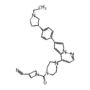 CCN1CC[C@H](c2ccc(-c3cc4c(N5CCN(C(=O)N6CC(C#N)C6)CC5)ccnn4c3)cc2)C1